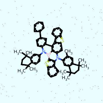 Cc1cc2c(cc1N1c3cc4sc5ccccc5c4c4c3B(c3sc5ccccc5c31)N(c1ccc3c(c1)C(C)(C)CCC3(C)C)c1ccc(-c3ccccc3)cc1-4)C(C)(C)CCC2(C)C